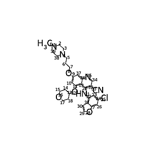 CN1CCN(CCCOc2cc(OC3CCOCC3)c3c(Nc4cc(Cl)cc5occc45)c(C#N)cnc3c2)CC1